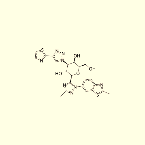 Cc1nc([C@@H]2O[C@H](CO)[C@H](O)[C@H](n3cc(-c4nccs4)nn3)[C@H]2O)n(-c2ccc3nc(C)sc3c2)n1